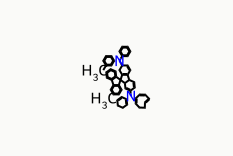 CC1=CC(N(C2=CC3C(C=C2)C2=C(CC(N(c4ccccc4)c4cccc(C)c4)C=C2)C32c3ccccc3-c3ccccc32)C2=C/CC/C=C/C=C\2)=CCC1